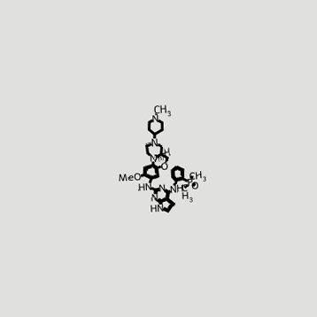 COc1cc2c(cc1Nc1nc(Nc3ccccc3P(C)(C)=O)c3cc[nH]c3n1)OC[C@@H]1CN(C3CCN(C)CC3)CCN21